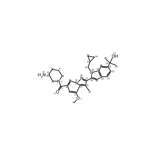 COc1cc(C(=O)N2CCC[C@@H](N)C2)cn2nc(-c3cc4ccc(C(C)(C)O)cc4n3CC3CC3)c(C)c12